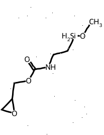 CO[SiH2]CCNC(=O)OCC1CO1